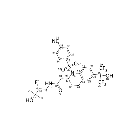 CC(C)(O)[C@H](F)CNC(=O)C[C@H]1CCc2cc(C(O)(C(F)(F)F)C(F)(F)F)ccc2N1S(=O)(=O)c1ccc(C#N)cc1